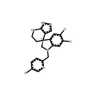 Clc1ccc(CN2C[C@]3(CCNc4[nH]ncc43)c3cc(Cl)c(Cl)cc32)nc1